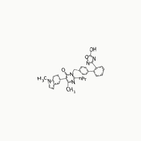 CCCc1nc(C)c(-c2ccc3c(ccn3C)c2)c(=O)n1Cc1ccc(-c2ccccc2-c2noc(O)n2)cc1